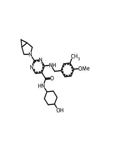 COc1ccc(CNc2nc(N3CC4CC4C3)ncc2C(=O)NC2CCC(O)CC2)cc1C